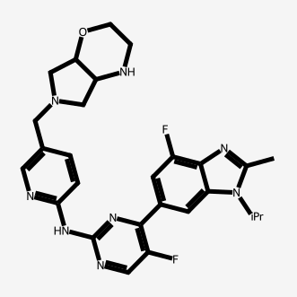 Cc1nc2c(F)cc(-c3nc(Nc4ccc(CN5CC6NCCOC6C5)cn4)ncc3F)cc2n1C(C)C